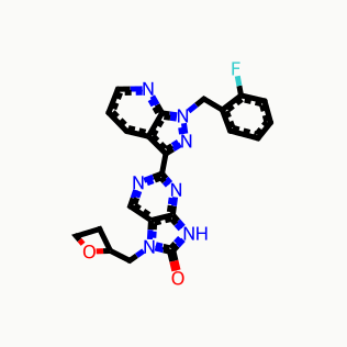 O=c1[nH]c2nc(-c3nn(Cc4ccccc4F)c4ncccc34)ncc2n1CC1CCO1